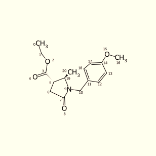 CCOC(=O)[C@H]1CC(=O)N(Cc2ccc(OC)cc2)[C@@H]1C